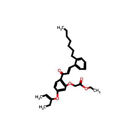 CC=C(CC)Oc1ccc(C(=O)C=Cc2ccccc2CCCCCCC)c(OCC(=O)OCC)c1